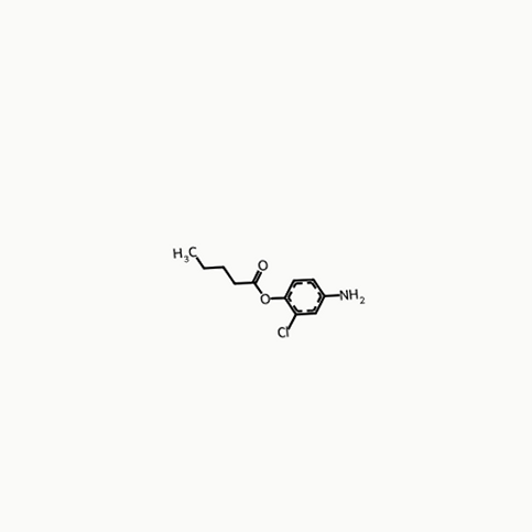 CCCCC(=O)Oc1ccc(N)cc1Cl